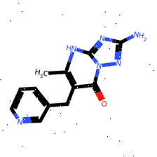 Cc1[nH]c2nc(N)nn2c(=O)c1Cc1cccnc1